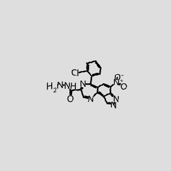 NNC(=O)c1cnc2c(cc([N+](=O)[O-])c3nncc32)c(-c2ccccc2Cl)n1